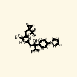 OC(Cc1nc(CC2(C(F)(F)F)CC2)c(Br)[nH]1)(c1ccc(-n2cccn2)cc1)C(F)F